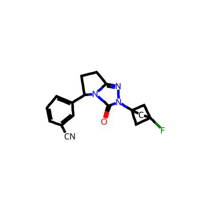 N#Cc1cccc(C2CCc3nn(C45CC(F)(C4)C5)c(=O)n32)c1